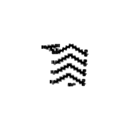 CCCCCCCC/C=C\CCCCCCCC(=O)[O-].CCCCCCCC/C=C\CCCCCCCC(=O)[O-].CCCCCCCC/C=C\CCCCCCCC(=O)[O-].CCCCCCCC/C=C\CCCCCCCC(=O)[O-].OCCN(CCO)CCO.[Mo+4]